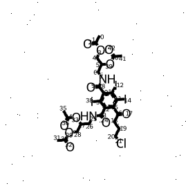 CC(=O)OCC(CNC(=O)c1c(I)c(I)c(C(=O)CCCCl)c(C(=O)NCC(COC(C)=O)OC(C)=O)c1I)OC(C)=O